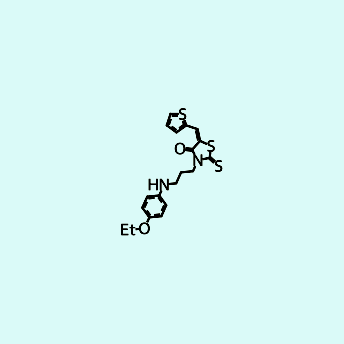 CCOc1ccc(NCCCN2C(=O)/C(=C\c3cccs3)SC2=S)cc1